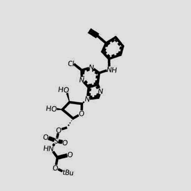 C#Cc1cccc(Nc2nc(Cl)nc3c2ncn3[C@@H]2O[C@H](COS(=O)(=O)NC(=O)OC(C)(C)C)[C@@H](O)[C@H]2O)c1